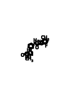 Cc1ccc(F)c2cc(C(=O)N[C@@H]3CCC[C@H](N4CC[C@@H]5[C@H]4CC(=O)N5C)C3)[nH]c12